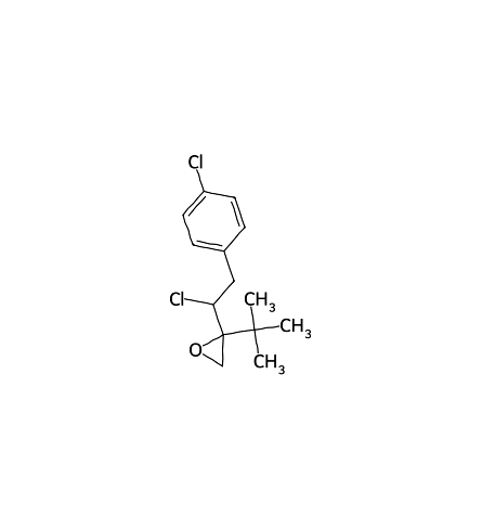 CC(C)(C)C1(C(Cl)Cc2ccc(Cl)cc2)CO1